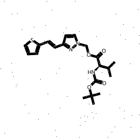 CC(C)[C@@H](NC(=O)OC(C)(C)C)C(=O)OCn1ccc(/C=C/c2cccs2)n1